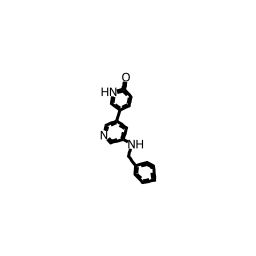 O=c1ccc(-c2cncc(NCc3ccccc3)c2)c[nH]1